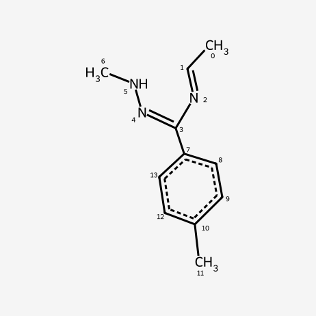 C/C=N/C(=N\NC)c1ccc(C)cc1